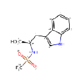 O=C(O)[C@@H](Cc1c[nH]c2ccccc12)NS(=O)(=O)C(F)(F)F